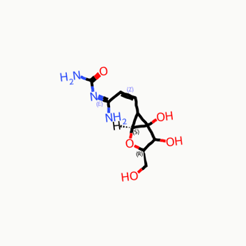 NC(=O)/N=C(N)\C=C/C1[C@@H]2O[C@H](CO)C(O)C12O